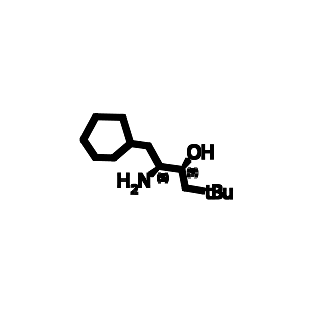 CC(C)(C)C[C@H](O)[C@@H](N)CC1CCCCC1